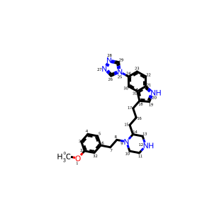 COc1cccc(CCN2CCNCC2CCCc2c[nH]c3ccc(-n4cnnc4)cc23)c1